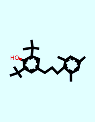 Cc1cc(C)c(CCCc2cc(C(C)(C)C)c(O)c(C(C)(C)C)c2)c(C)c1